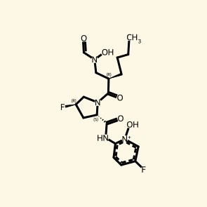 CCCC[C@H](CN(O)C=O)C(=O)N1C[C@H](F)C[C@H]1C(=O)Nc1ccc(F)c[n+]1O